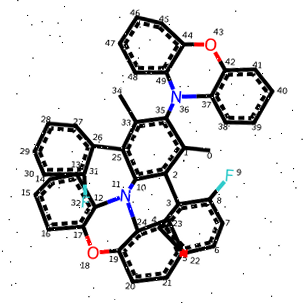 Cc1c(-c2ccccc2F)c(N2c3ccccc3Oc3ccccc32)c(-c2ccccc2F)c(C)c1N1c2ccccc2Oc2ccccc21